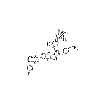 COc1ccc(Cn2nc(O[C@@H]3CCN(C(=O)OC(C)(C)C)C[C@@H]3O)c3c(Oc4ccc(NC(=O)c5ccnn(-c6ccc(F)cc6)c5=O)cc4F)ccnc32)cc1